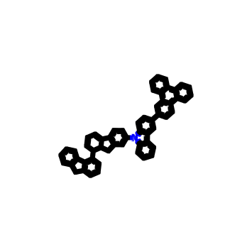 C1=CC(c2cccc3c2-c2ccccc2C3)C2Cc3cc(-n4c5ccccc5c5cc(-c6ccc7c8ccccc8c8ccccc8c7c6)ccc54)ccc3C2=C1